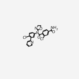 NC(=O)c1ccc(C(=O)N(C2=NCCO2)c2ccc(Cl)c(-c3ccccn3)c2)c(Cl)c1